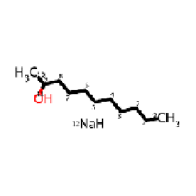 CCCCCCCCCC(C)O.[NaH]